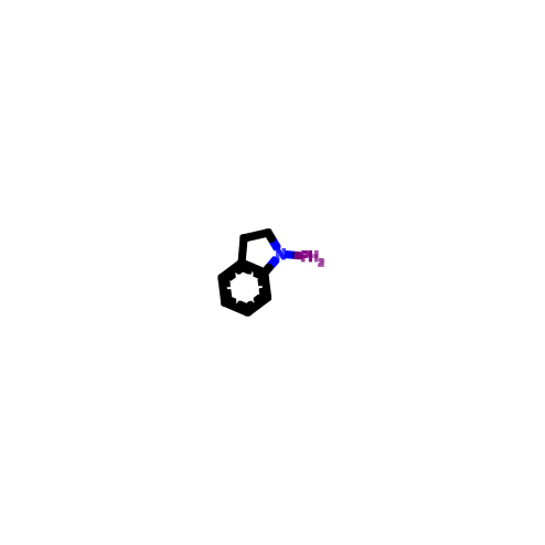 PN1CCc2ccccc21